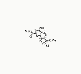 COC(=O)c1cc(N)c(F)c(-c2ccc(Cl)c(OC)c2F)n1